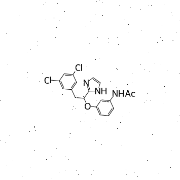 CC(=O)Nc1cccc(OC(Cc2cc(Cl)cc(Cl)c2)c2ncc[nH]2)c1